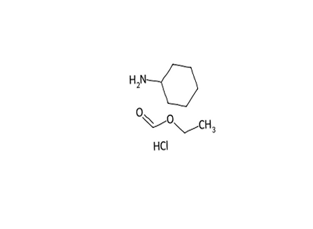 CCOC=O.Cl.NC1CCCCC1